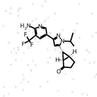 CC(C)n1nc(-c2cnc(N)c(C(F)(F)F)c2)cc1[C@@H]1[C@H]2CCC(=O)[C@H]21